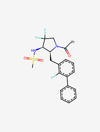 CC(C)C(=O)N1CC(F)(F)[C@H](NS(C)(=O)=O)[C@@H]1Cc1cccc(-c2ccccc2)c1F